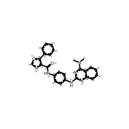 CN(C)c1nc(Nc2ccc(NC(=O)c3ncoc3-c3ccccc3)cc2)nc2ccccc12